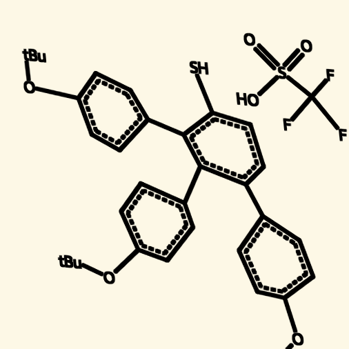 CC(C)(C)Oc1ccc(-c2ccc(S)c(-c3ccc(OC(C)(C)C)cc3)c2-c2ccc(OC(C)(C)C)cc2)cc1.O=S(=O)(O)C(F)(F)F